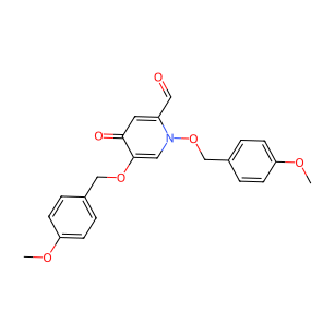 COc1ccc(COc2cn(OCc3ccc(OC)cc3)c(C=O)cc2=O)cc1